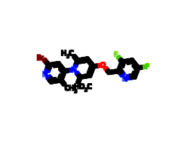 CC1=CC(OCc2ncc(F)cc2F)=CC(C(=O)O)N1c1cc(Br)ncc1C